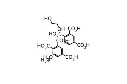 O.O.O=C(O)c1ccc(C(=O)O)c(C(=O)O)c1.O=C(O)c1ccc(C(=O)O)c(C(=O)O)c1.OCCO